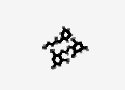 Clc1cc(Cl)c(SOSc2c(Cl)cc(Cl)cc2Cl)c(Cl)c1.SCCNCc1cnccn1